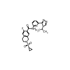 CC(C)n1cnnc1-c1cccc(NC(=O)c2cc3c(cc2F)CCN(S(=O)(=O)C2CC2)C3)n1